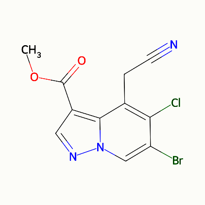 COC(=O)c1cnn2cc(Br)c(Cl)c(CC#N)c12